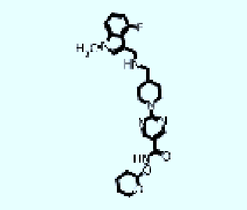 Cn1cc(CNCC2CCN(c3ncc(C(=O)NOC4CCCCO4)cn3)CC2)c2c(F)cccc21